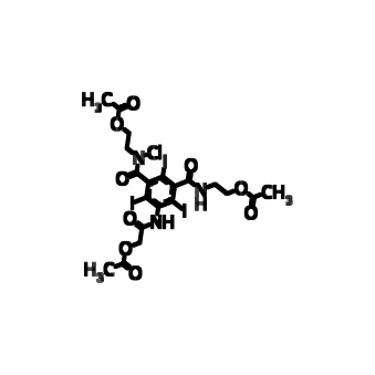 CC(=O)OCCNC(=O)c1c(I)c(NC(=O)COC(C)=O)c(I)c(C(=O)N(Cl)CCOC(C)=O)c1I